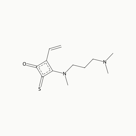 C=Cc1c(N(C)CCCN(C)C)c(=S)c1=O